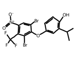 CC(C)c1cc(Oc2c(Br)cc([N+](=O)[O-])c(C(F)(F)F)c2Br)ccc1O